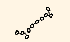 c1ccc(-c2ccc(N(c3ccccc3)c3ccc(-c4ccc(-c5ccc(-c6ccc(-c7ccc8c(c7)c7ccccc7n8-c7ccccc7)cc6)cc5)cc4)cc3)cc2)cc1